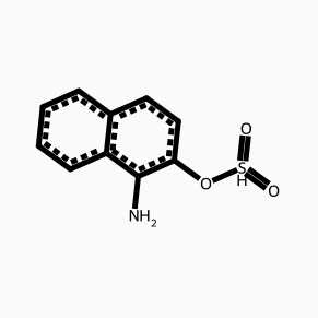 Nc1c(O[SH](=O)=O)ccc2ccccc12